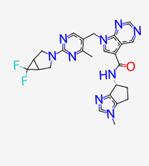 Cc1nc(N2CC3C(C2)C3(F)F)ncc1Cn1cc(C(=O)N[C@@H]2CCc3c2ncn3C)c2cncnc21